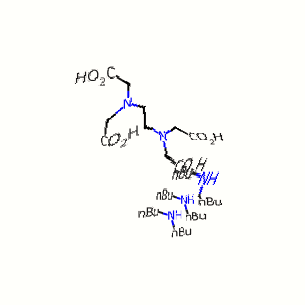 CCCCNCCCC.CCCCNCCCC.CCCCNCCCC.O=C(O)CN(CCN(CC(=O)O)CC(=O)O)CC(=O)O